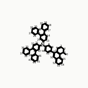 CC1CC=Cc2c(-c3ccc(N(c4ccc(-c5ccccc5)c(-c5ccccc5)c4)c4ccc(-c5ccccc5)c(-c5ccccc5)c4)cc3)cc3ccccc3c21